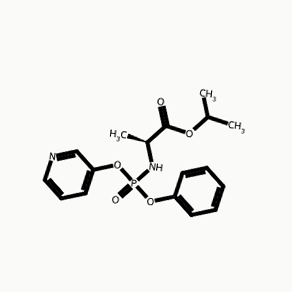 CC(C)OC(=O)[C@H](C)NP(=O)(Oc1ccccc1)Oc1cccnc1